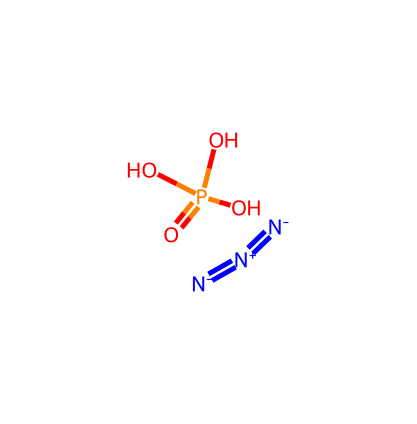 O=P(O)(O)O.[N-]=[N+]=[N-]